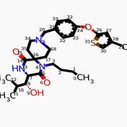 CCCCN1C(=O)[C@@H]([C@H](O)C(C)C)NC(=O)C12CCN(Cc1ccc(Oc3cc(C)cs3)cc1)CC2